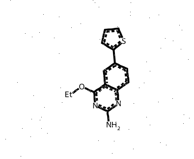 CCOc1nc(N)nc2ccc(-c3cccs3)cc12